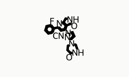 N#Cc1cccc(F)c1-c1cc(-n2ccc(N3CCNC(=O)CC3)n2)c2c(n1)CNC2=O